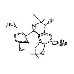 COc1cc2c(c3c1OC(C)(C)C3)C(c1cccc(Br)c1)=NC(C)(C)C2O.Cl